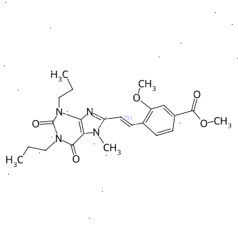 CCCn1c(=O)c2c(nc(/C=C/c3ccc(C(=O)OC)cc3OC)n2C)n(CCC)c1=O